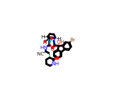 N#C[C@@H](C[C@H]1CCCNC1=O)NC(=O)[C@@H]1[C@H]2CC[C@H](CC2(F)F)N1C(=O)[C@]1(O)c2ccccc2-c2ccc(Br)cc21